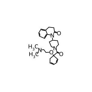 CN(C)CCOC1(C(=O)N2CCC(N3C(=O)CCc4ccccc43)CC2)C=CC=CC1